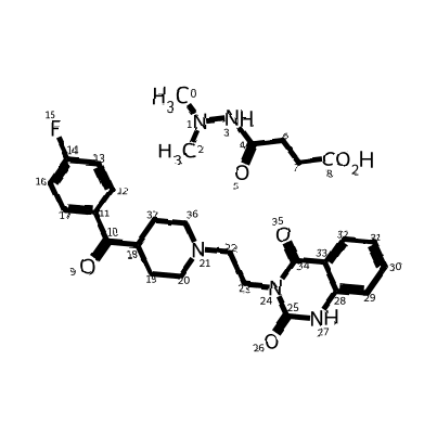 CN(C)NC(=O)CCC(=O)O.O=C(c1ccc(F)cc1)C1CCN(CCn2c(=O)[nH]c3ccccc3c2=O)CC1